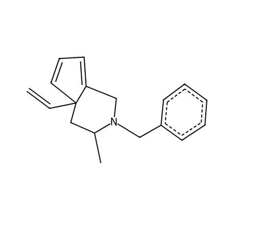 C=CC12C=CC=C1CN(Cc1ccccc1)C(C)C2